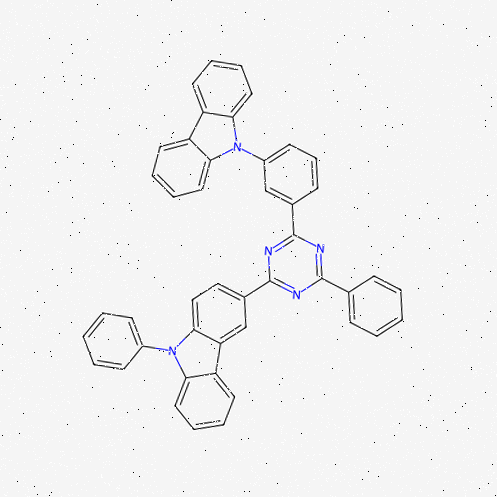 c1ccc(-c2nc(-c3cccc(-n4c5ccccc5c5ccccc54)c3)nc(-c3ccc4c(c3)c3ccccc3n4-c3ccccc3)n2)cc1